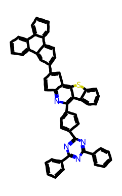 c1ccc(-c2nc(-c3ccccc3)nc(-c3ccc(-c4nc5ccc(-c6ccc7c8ccccc8c8ccccc8c7c6)cc5c5sc6ccccc6c45)cc3)n2)cc1